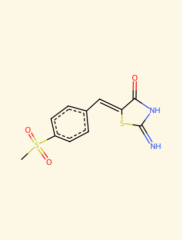 CS(=O)(=O)c1ccc(/C=C2\SC(=N)NC2=O)cc1